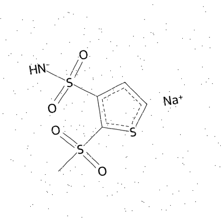 CS(=O)(=O)c1sccc1S([NH-])(=O)=O.[Na+]